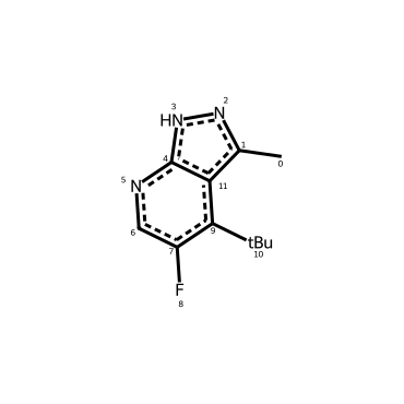 Cc1n[nH]c2ncc(F)c(C(C)(C)C)c12